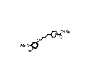 COc1cc(OCCCCC2CCN(C(=O)OC(C)(C)C)CC2)ccc1Br